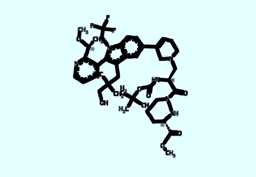 COC(=O)[C@@H]1CCCN(C(=O)[C@H](CN2CCC=C(c3ccc4c(c3)c(CC(C)(C)CO)c(-c3cccnc3[C@H](C)OC)n4CC(F)(F)F)C2)NC(=O)OC(C)(C)C)N1